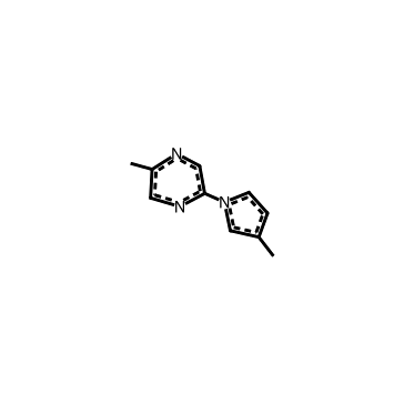 Cc1ccn(-c2cnc(C)cn2)c1